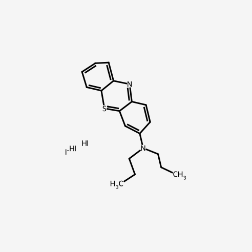 CCCN(CCC)c1ccc2nc3ccccc3[s+]c2c1.I.I.[I-]